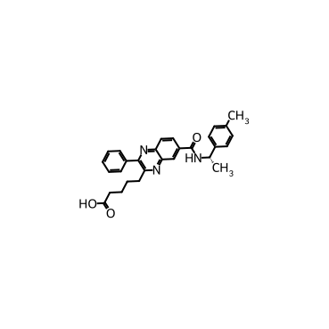 Cc1ccc([C@H](C)NC(=O)c2ccc3nc(-c4ccccc4)c(CCCCC(=O)O)nc3c2)cc1